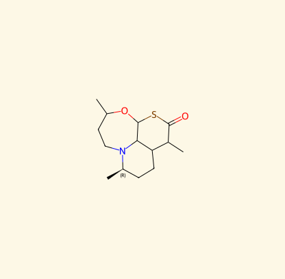 CC1CCN2C3C(O1)SC(=O)C(C)C3CC[C@H]2C